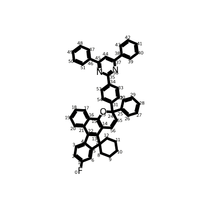 Fc1ccc2c(c1)C1(CCCCC1)c1c3c(c4ccccc4c1-2)OC(c1ccccc1)(c1ccc(-c2nc(-c4ccccc4)cc(-c4ccccc4)n2)cc1)C=C3